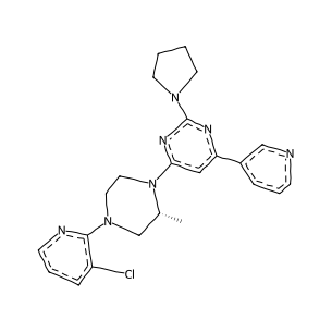 C[C@@H]1CN(c2ncccc2Cl)CCN1c1cc(-c2cccnc2)nc(N2CCCC2)n1